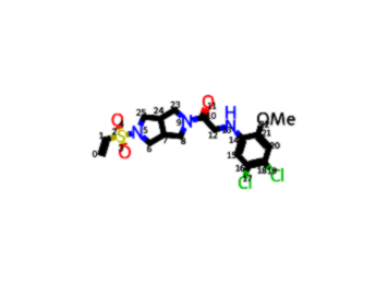 C=CS(=O)(=O)N1CC2CN(C(=O)CNc3cc(Cl)c(Cl)cc3OC)CC2C1